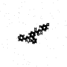 Cn1nccc1-c1cc(NC(=O)CNc2ccc(Cl)cc2F)ccc1OCCN1CCOCC1